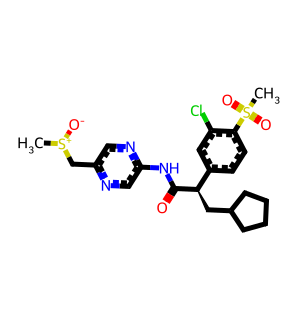 C[S+]([O-])Cc1cnc(NC(=O)[C@H](CC2CCCC2)c2ccc(S(C)(=O)=O)c(Cl)c2)cn1